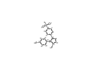 CS(=O)(=O)c1ccc(-c2ccc(F)n2-c2ccc(F)cc2)cc1